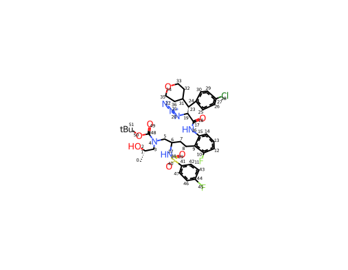 C[C@H](O)CN(CC(CCc1c(F)cccc1NC(=O)C(N=[N+]=[N-])[C@@H](c1ccc(Cl)cc1)C1CCOCC1)NS(=O)(=O)c1ccc(F)cc1)C(=O)OC(C)(C)C